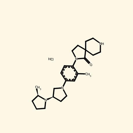 Cc1cc(N2CC[C@@H](N3CCC[C@H]3C)C2)ccc1N1CCC2(CCNCC2)C1=O.Cl